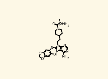 C[C@@H](N)C(=O)N1CCC(CCn2c(Sc3cc4c(cc3Br)OCO4)nc3c(N)ncnc32)CC1